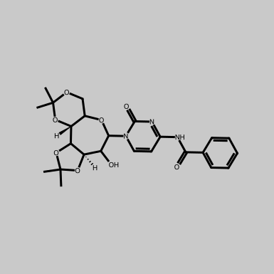 CC1(C)OCC2OC(n3ccc(NC(=O)c4ccccc4)nc3=O)C(O)[C@H]3OC(C)(C)OC3[C@@H]2O1